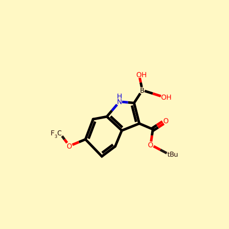 CC(C)(C)OC(=O)c1c(B(O)O)[nH]c2cc(OC(F)(F)F)ccc12